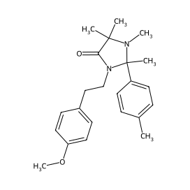 COc1ccc(CCN2C(=O)C(C)(C)N(C)C2(C)c2ccc(C)cc2)cc1